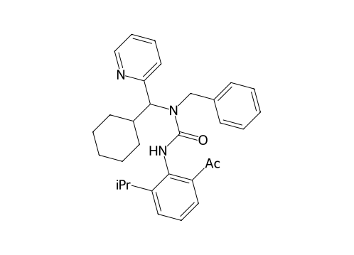 CC(=O)c1cccc(C(C)C)c1NC(=O)N(Cc1ccccc1)C(c1ccccn1)C1CCCCC1